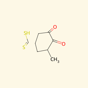 CC1CCCC(=O)C1=O.S=CS